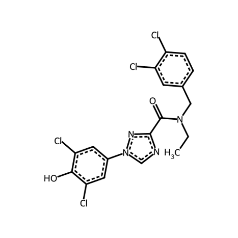 CCN(Cc1ccc(Cl)c(Cl)c1)C(=O)c1ncn(-c2cc(Cl)c(O)c(Cl)c2)n1